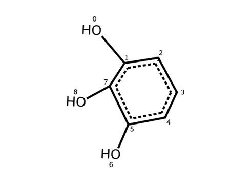 Oc1[c]ccc(O)c1O